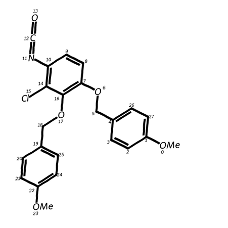 COc1ccc(COc2ccc(N=C=O)c(Cl)c2OCc2ccc(OC)cc2)cc1